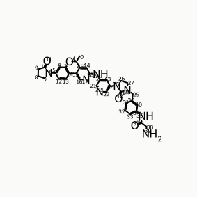 CC1Oc2cc(N3CCCC3=O)ccc2-c2cnc(Nc3cncc(N4CCN(Cc5cccc(NC(=O)CN)c5)C4=O)c3)cc21